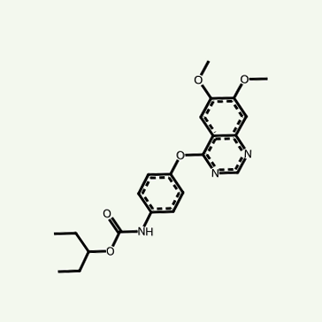 CCC(CC)OC(=O)Nc1ccc(Oc2ncnc3cc(OC)c(OC)cc23)cc1